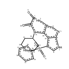 O=c1[nH]c2cnc3[nH]cc(S(=O)(=O)c4ccccc4)c3c2n(C2CCNCC2)c1=O